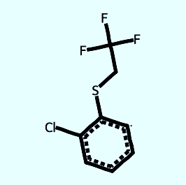 FC(F)(F)CSc1[c]cccc1Cl